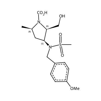 COc1ccc(CN([C@H]2C[C@@H](C)N(C(=O)O)[C@H]2CO)S(C)(=O)=O)cc1